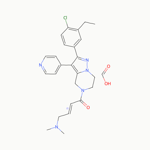 CCc1cc(-c2nn3c(c2-c2ccncc2)CN(C(=O)/C=C/CN(C)C)CC3)ccc1Cl.O=CO